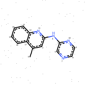 Cc1cc(Nc2cnccn2)nc2ccccc12